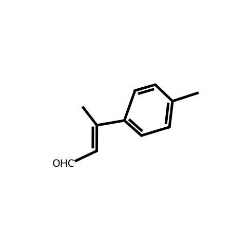 CC(=CC=O)c1ccc(C)cc1